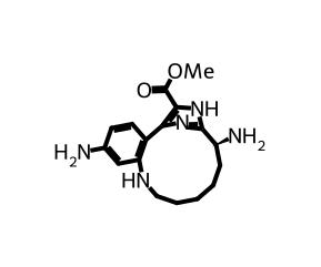 COC(=O)c1[nH]c2nc1-c1ccc(N)cc1NCCCCC[C@@H]2N